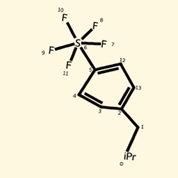 CC(C)Cc1ccc(S(F)(F)(F)(F)F)cc1